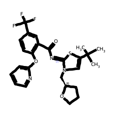 CC(C)(C)c1cn(C[C@H]2CCCO2)/c(=N/C(=O)c2cc(C(F)(F)F)ccc2Oc2ccccn2)s1